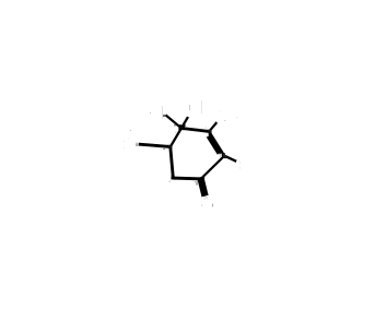 O=C1CC(Cl)C(Cl)(Cl)C(Cl)=C1Cl